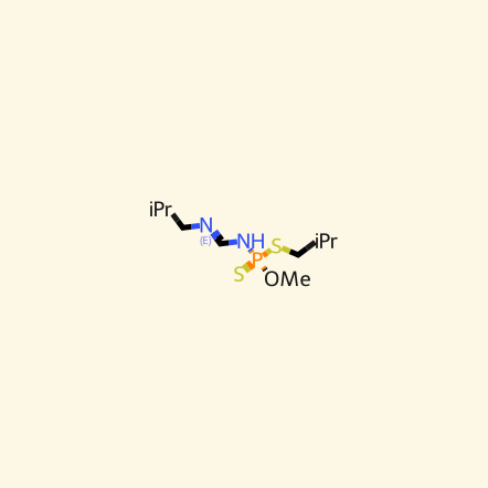 COP(=S)(N/C=N/CC(C)C)SCC(C)C